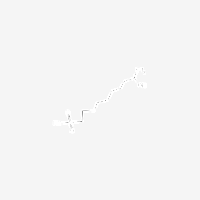 CC(O)CCCCCCCCS(=O)(=O)O